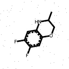 CC1COc2cc(F)c(F)cc2N1